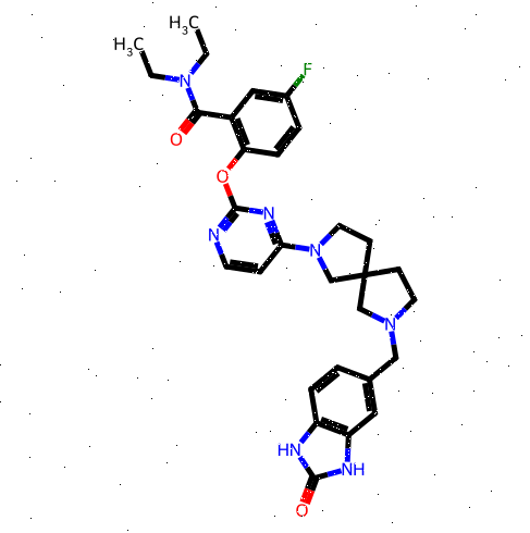 CCN(CC)C(=O)c1cc(F)ccc1Oc1nccc(N2CCC3(CCN(Cc4ccc5[nH]c(=O)[nH]c5c4)C3)C2)n1